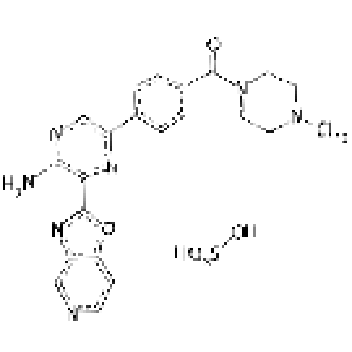 CN1CCN(C(=O)c2ccc(-c3cnc(N)c(-c4nc5cnccc5o4)n3)cc2)CC1.O=S(=O)(O)O